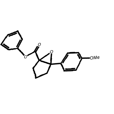 COc1ccc(C23CCCC2(C(=O)Oc2ccccc2)O3)cc1